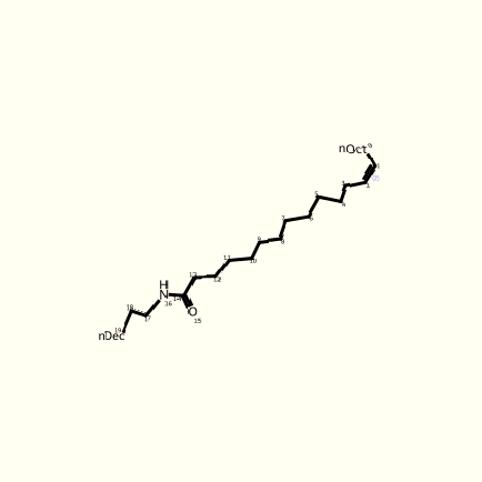 CCCCCCCC/C=C\CCCCCCCCCCCC(=O)NCCCCCCCCCCCC